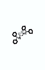 [O-]/[P+](C/[P+]([O-])=N/P(c1ccccc1)c1ccccc1)=N\P(c1ccccc1)c1ccccc1